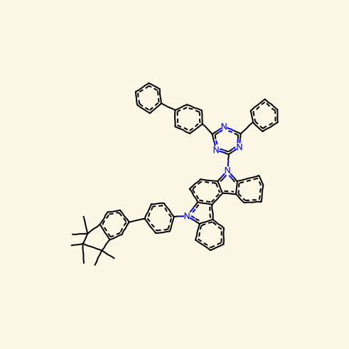 CC1(C)c2ccc(-c3ccc(-n4c5ccccc5c5c6c7ccccc7n(-c7nc(-c8ccccc8)nc(-c8ccc(-c9ccccc9)cc8)n7)c6ccc54)cc3)cc2C(C)(C)C1(C)C